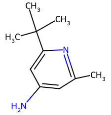 Cc1cc(N)cc(C(C)(C)C)n1